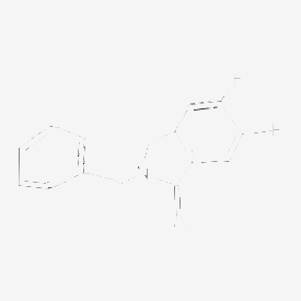 O=C1c2cc(F)c(F)cc2CN1Cc1cc[c]cc1